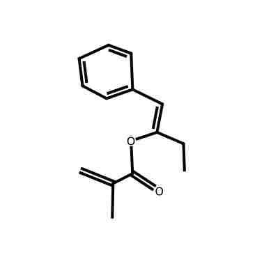 C=C(C)C(=O)OC(=Cc1ccccc1)CC